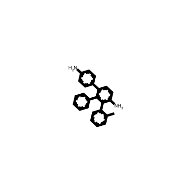 Cc1ccccc1-c1c(N)ccc(-c2ccc(N)cc2)c1-c1ccccc1